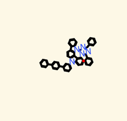 c1ccc(-c2ccc(-c3cccc(-n4c5ccccc5c5c4ccc4c6ccccc6n(-c6nc(-c7ccccc7)nc(-c7ccccc7)n6)c45)c3)cc2)cc1